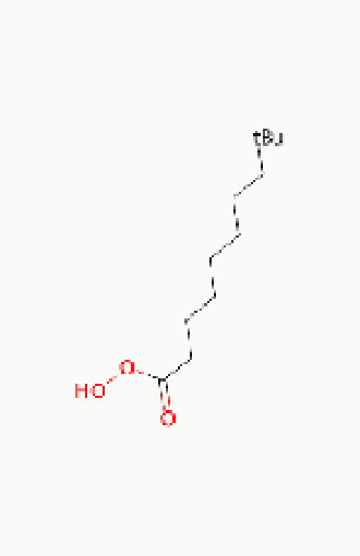 CC(C)(C)CCCCCCCC(=O)OO